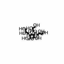 O=C(O[C@H]1[C@H](OC(=O)C(O)CO)[C@@H](OC(=O)C(O)CO)C(O)O[C@@H]1CO)C(O)CO